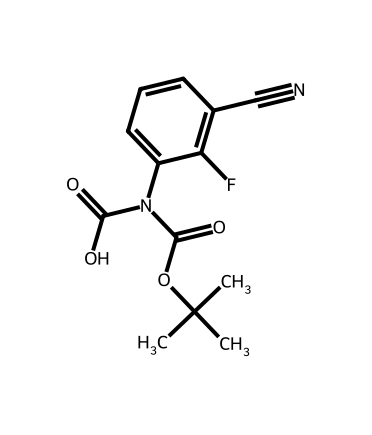 CC(C)(C)OC(=O)N(C(=O)O)c1cccc(C#N)c1F